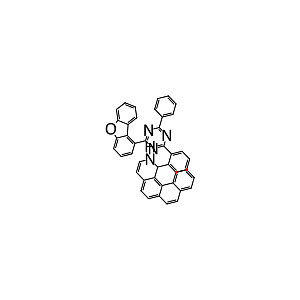 C1=Cc2ccc3ccc4ccccc4c3c2C(c2ccccc2-c2nc(-c3ccccc3)nc(-c3cccc4oc5ccccc5c34)n2)N1